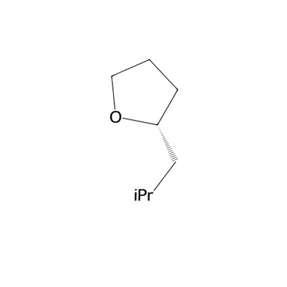 CC(C)C[C@H]1CCCO1